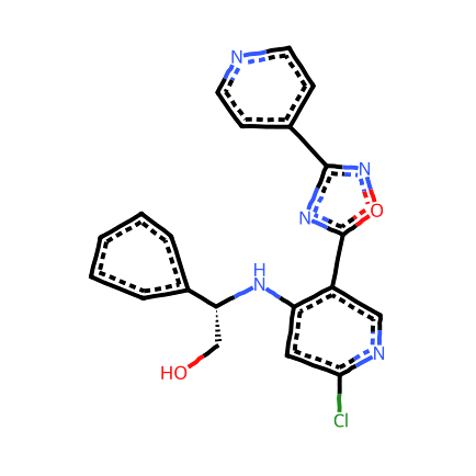 OC[C@@H](Nc1cc(Cl)ncc1-c1nc(-c2ccncc2)no1)c1ccccc1